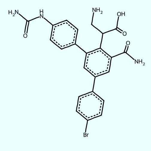 NCC(C(=O)O)c1c(C(N)=O)cc(-c2ccc(Br)cc2)cc1-c1ccc(NC(N)=O)cc1